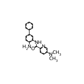 CN(C)c1ccc(C(=O)Nc2cc(-c3ccccc3)ccc2N)nc1